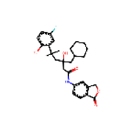 CC(C)(CC(O)(CC(=O)Nc1ccc2c(c1)COC2=O)CC1CCCCC1)c1cc(F)ccc1O